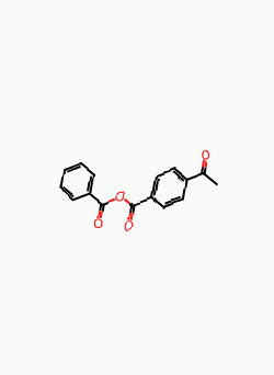 CC(=O)c1ccc(C(=O)OC(=O)c2ccccc2)cc1